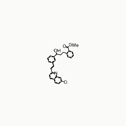 COC(=O)c1ccccc1CCC(O)c1cccc(C=Cc2ccc3ccc(Cl)cc3n2)c1